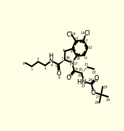 CCCCNC(=O)[C@H]1Cc2c(ccc(Cl)c2Cl)N1C(=O)[C@H](CC)NC(=O)OC(C)(C)C